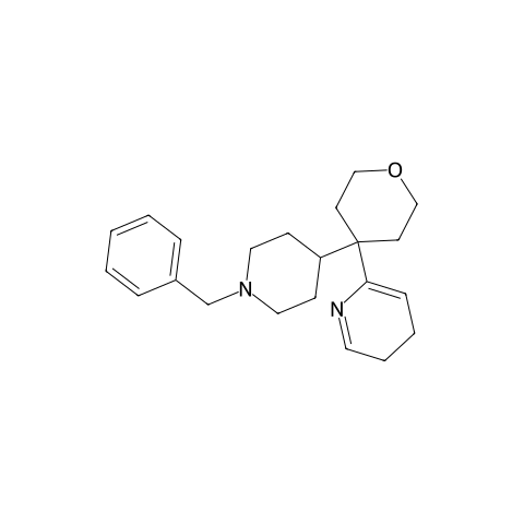 C1=NC(C2(C3CCN(Cc4ccccc4)CC3)CCOCC2)=CCC1